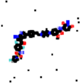 COc1cc(N2CC3(CN(CCc4ccc(-c5cnc6[nH]cc(C(=O)c7c(F)ccc(NS(=O)(=O)N8CC[C@@H](F)C8)c7F)c6c5)cc4)C3)C2)ccc1C(=O)NC1CCC(=O)NC1=O